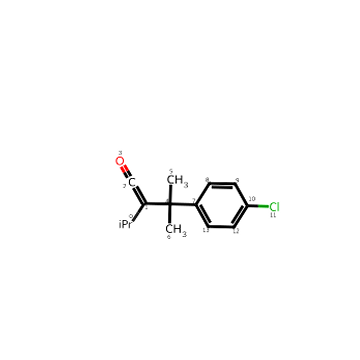 CC(C)C(=C=O)C(C)(C)c1ccc(Cl)cc1